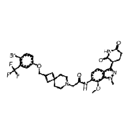 COc1c(NC(=O)CN2CCC3(CC2)CC(COc2ccc(Br)c(C(F)(F)F)c2)C3)ccc2c(C3CCC(=O)NC3=O)nn(C)c12